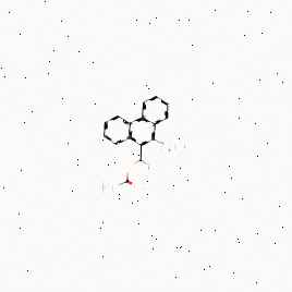 CC(C)C(=O)OC(C)c1c([N+](=O)[O-])c2ccccc2c2ccccc12